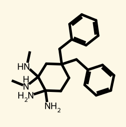 CNC1(NC)CC(Cc2ccccc2)(Cc2ccccc2)CCC1(N)N